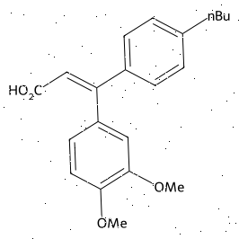 CCCCc1ccc(C(=CC(=O)O)c2ccc(OC)c(OC)c2)cc1